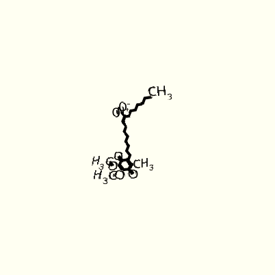 CCCCCCCC/C(=C\CCCCCCCC1=C(C)C(=O)C(OC)=C(OC)C1=O)[N+](=O)[O-]